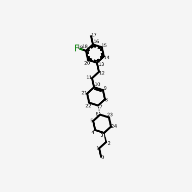 CCC[C@H]1CC[C@H](C2CC=C(CCc3ccc(C)c(F)c3)CC2)CC1